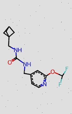 O=C(NCc1ccnc(OC(F)F)c1)NCC12CC(C1)C2